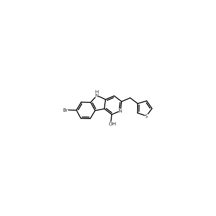 Oc1nc(Cc2ccsc2)cc2[nH]c3cc(Br)ccc3c12